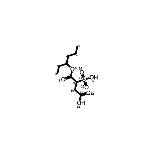 CCCC(CC)OC(=O)C(CC(=O)O)S(=O)(=O)O